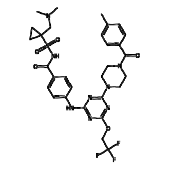 Cc1ccc(C(=O)N2CCN(c3nc(Nc4ccc(C(=O)NS(=O)(=O)C5(CN(C)C)CC5)cc4)nc(OCC(F)(F)F)n3)CC2)cc1